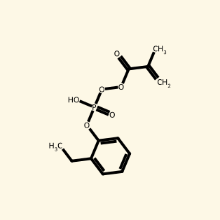 C=C(C)C(=O)OOP(=O)(O)Oc1ccccc1CC